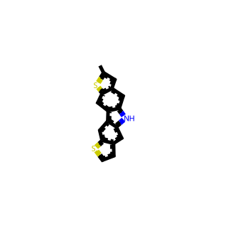 Cc1cc2cc3[nH]c4cc5ccsc5cc4c3cc2s1